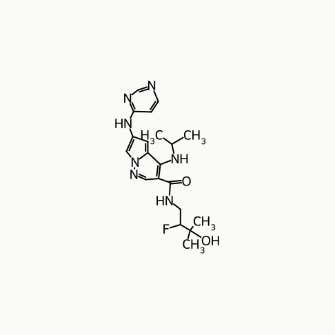 CC(C)Nc1c(C(=O)NCC(F)C(C)(C)O)cnn2cc(Nc3ccncn3)cc12